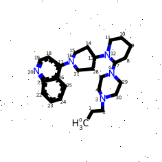 CCCN1CCN(C2CCCCN2C2CCN(c3ccnc4ccccc34)CC2)CC1